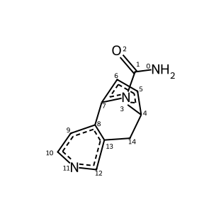 NC(=O)n1c2ccc1-c1ccncc1C2